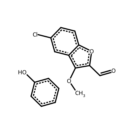 COc1c(C=O)oc2ccc(Cl)cc12.Oc1ccccc1